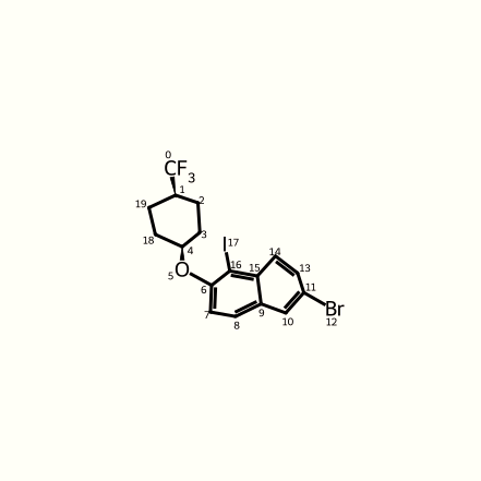 FC(F)(F)[C@H]1CC[C@@H](Oc2ccc3cc(Br)ccc3c2I)CC1